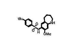 COc1cc2c(cc1NS(=O)(=O)c1ccc(C(C)(C)C)cc1)CCCCN2